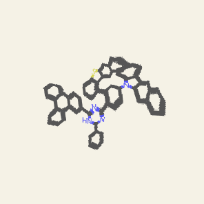 c1ccc(C2N=C(c3ccc(-n4c5ccccc5c5cc6ccccc6cc54)cc3-c3cccc4sc5cc6ccccc6cc5c34)N=C(c3ccc4c5ccccc5c5ccccc5c4c3)N2)cc1